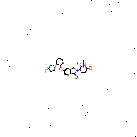 O=C1CCC(N2Cc3cc(O[C@@H]4CCCC[C@H]4N4CCC(F)(F)C4)ccc3C2=O)C(=O)N1